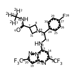 [2H]C([2H])([2H])NC(=O)C1CN(C(CNc2cc(C(F)(F)F)nc3cc(C(F)(F)F)nn23)c2ccc(F)cc2)C1